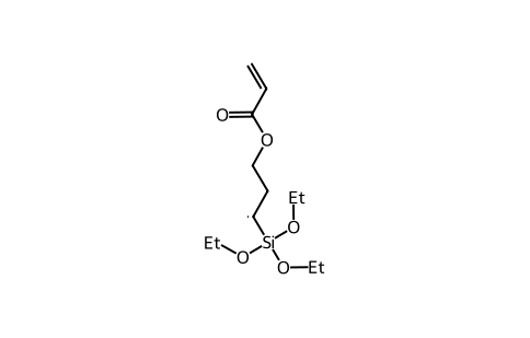 C=CC(=O)OCC[CH][Si](OCC)(OCC)OCC